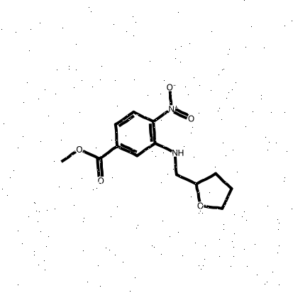 COC(=O)c1ccc([N+](=O)[O-])c(NCC2CCCO2)c1